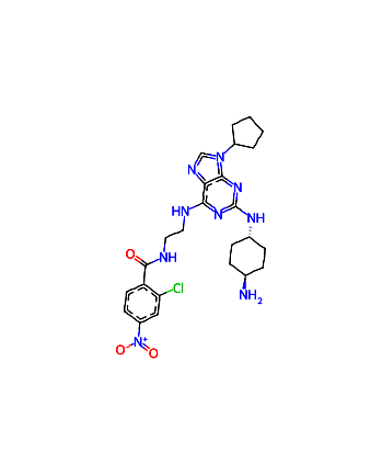 N[C@H]1CC[C@H](Nc2nc(NCCNC(=O)c3ccc([N+](=O)[O-])cc3Cl)c3ncn(C4CCCC4)c3n2)CC1